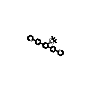 CC1(C)OB(c2cc(-c3ccc(-c4ccccn4)cc3)ccc2-c2ccc(-c3ccccn3)cc2)OC1(C)C